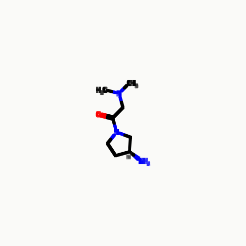 CN(C)CC(=O)N1CC[C@H](N)C1